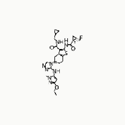 CCOc1cc(Nc2nncn2[C@H]2CCc3sc(NC(=O)[C@H]4C[C@@H]4F)c(C(=O)NCC4CC4)c3C2)n(C)n1